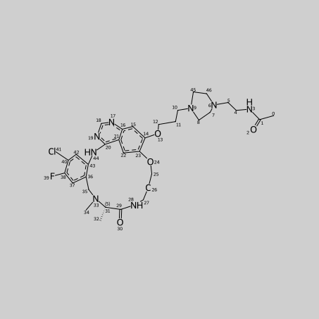 CC(=O)NCCN1CCN(CCCOc2cc3ncnc4c3cc2OCCCNC(=O)[C@H](C)N(C)Cc2cc(F)c(Cl)cc2N4)CC1